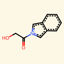 O=C(CO)n1cc2ccccc2c1